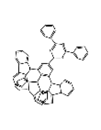 C1=CC2c3ccccc3N(c3cc(-c4nc(-c5ccccc5)nc(-c5ccccc5)n4)cc(-n4c5ccccc5c5ccccc54)c3-n3c4ccccc4c4ccccc43)C2C=C1